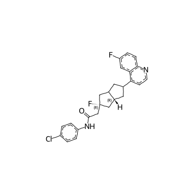 O=C(C[C@@]1(F)CC2CC(c3ccnc4ccc(F)cc34)C[C@@H]2C1)Nc1ccc(Cl)cc1